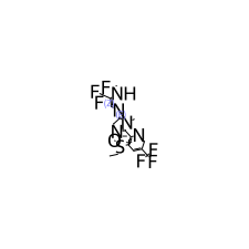 CC[S+]([O-])c1cc(C(F)(F)F)cnc1C1=NC/C(=N\C=C(/NC)C(F)(F)F)N1C